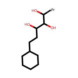 CC(C)C(O)C(O)C(O)CCC1CCCCC1